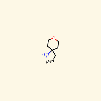 CNCC1(N)CCOCC1